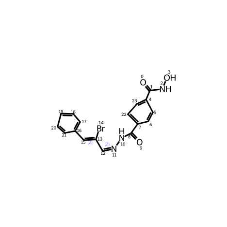 O=C(NO)c1ccc(C(=O)N/N=C\C(Br)=C\c2ccccc2)cc1